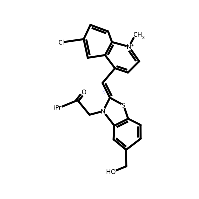 CC(C)C(=O)CN1/C(=C/c2cc[n+](C)c3ccc(Cl)cc23)Sc2ccc(CO)cc21